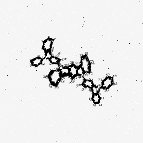 c1ccc(-n2c3ccccc3c3ccc(-n4c5ccccc5c5cc6c(cc54)c4ccccc4n6-c4ccc5c6ccccc6n(-c6ccccc6)c5c4)cc32)cc1